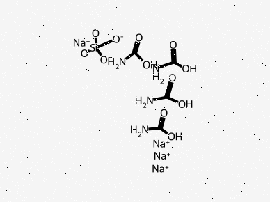 NC(=O)O.NC(=O)O.NC(=O)O.NC(=O)O.[Na+].[Na+].[Na+].[Na+].[O-][Si]([O-])([O-])[O-]